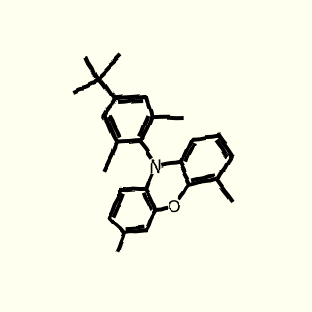 Cc1ccc2c(c1)Oc1c(C)cccc1N2c1c(C)cc(C(C)(C)C)cc1C